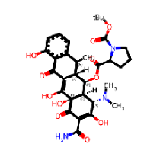 C[C@@H]1c2cccc(O)c2C(=O)C2=C(O)[C@@]3(O)C(=O)C(C(N)=O)=C(O)[C@@H](N(C)C)[C@@H]3[C@H](OC(=O)C3CCCN3C(=O)OC(C)(C)C)[C@H]21